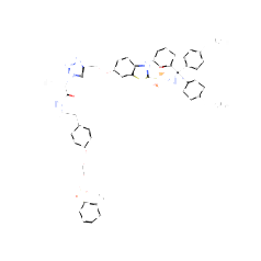 COc1ccc(C(NS(=O)(=O)c2nc3ccc(OCc4cn([C@H](C(=O)N[C@@H](Cc5ccc(OCCOS(=O)(=O)c6ccccc6[N+](=O)[O-])cc5)C(=O)O)C(C)C)nn4)cc3s2)(c2ccccc2)c2ccc(OC)cc2)cc1